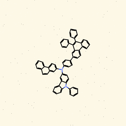 c1ccc(-c2c(-c3ccccc3)c3cc(-c4ccc(N(c5ccc6c(ccc7ccccc76)c5)c5ccc6c(c5)c5ccccc5n6-c5ccccc5)cc4)ccc3c3ccccc23)cc1